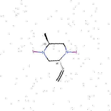 C=C[C@@H]1CN(I)[C@@H](C)CN1I